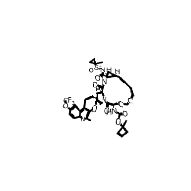 Cc1nc2ccc(OC(F)(F)F)cc2c2c1O[C@]1(CC2)C[C@H]2C(=O)N[C@]3(C(=O)N[S@+]([O-])C4(C)CC4)C[C@H]3/C=C\CCCCC[C@H](NC(=O)OC3(C)CCC3)C(=O)N2C1